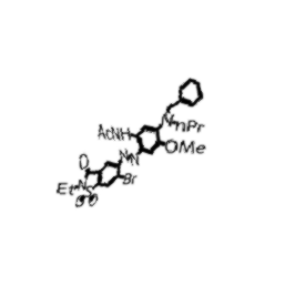 CCCN(Cc1ccccc1)c1cc(NC(C)=O)c(/N=N/c2cc3c(cc2Br)S(=O)(=O)N(CC)C3=O)cc1OC